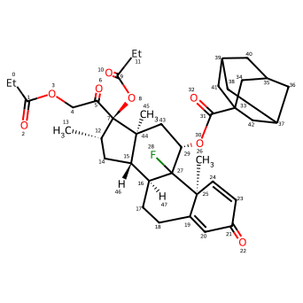 CCC(=O)OCC(=O)[C@@]1(OC(=O)CC)[C@@H](C)C[C@H]2[C@@H]3CCC4=CC(=O)C=C[C@]4(C)C3(F)[C@@H](OC(=O)C34CC5CC(CC(C5)C3)C4)C[C@@]21C